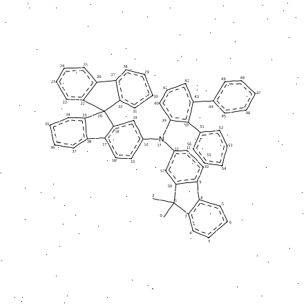 CC1(C)c2ccccc2-c2ccc(N(c3ccc4c(c3)C3(c5ccccc5-c5ccccc53)c3ccccc3-4)c3cccc(-c4ccccc4)c3-c3ccccc3)cc21